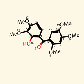 COc1cc(OC)c(C(=O)c2ccc(OC)c(OC)c2O)cc1OC